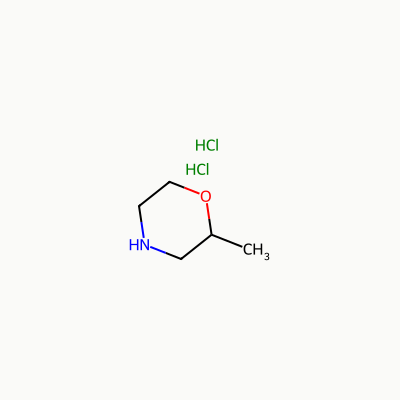 CC1CNCCO1.Cl.Cl